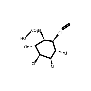 C=C.Cl[C@H]1[C@H](Cl)[C@@H](Cl)[C@@H](Cl)[C@H](Cl)[C@H]1Cl.O=C(O)O